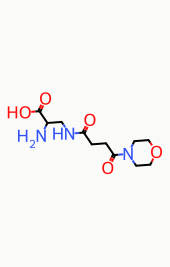 NC(CNC(=O)CCC(=O)N1CCOCC1)C(=O)O